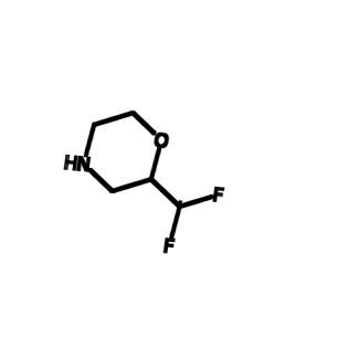 F[C](F)C1CNCCO1